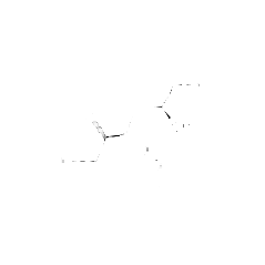 O.O.O=C(CO)[C@@H](O)[C@H](O)[C@H](O)CO